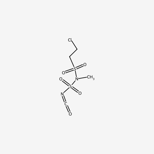 CN(S(=O)(=O)CCCl)S(=O)(=O)N=C=O